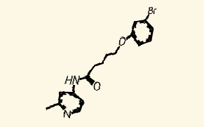 Cc1cc(NC(=O)CCCCOc2cccc(Br)c2)ccn1